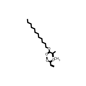 C=C(C)C(=O)OCCCCCCCCCCCC.C=CC(=O)OC.[CH3]